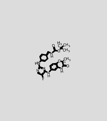 C[C@@H]1Oc2ccc(Nc3nc(NC4=CCC(=CNC(=O)OC(C)(C)C)C=C4)ncc3F)cc2NC1=O